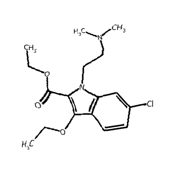 CCOC(=O)c1c(OCC)c2ccc(Cl)cc2n1CCN(C)C